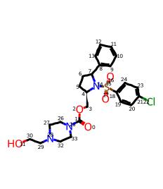 O=C(OC[C@H]1CCC(c2ccccc2)N1S(=O)(=O)c1ccc(Cl)cc1)N1CCN(CCO)CC1